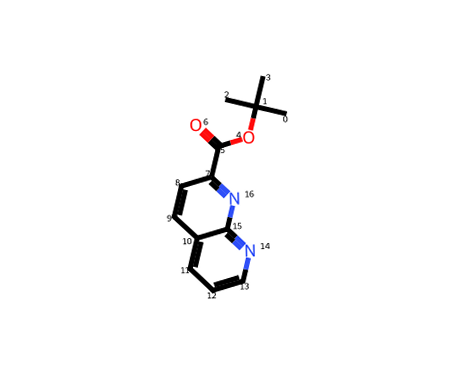 CC(C)(C)OC(=O)c1ccc2cccnc2n1